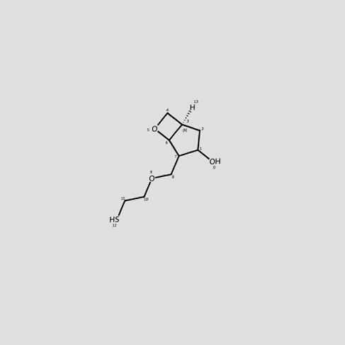 OC1C[C@@H]2COC2C1COCCS